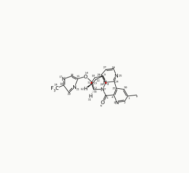 Cc1cnc(C(=O)N2CC3CC[C@H]2[C@H](Oc2cnc(C(F)(F)F)cn2)C3)c(-c2ncccn2)c1